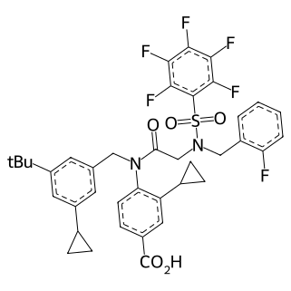 CC(C)(C)c1cc(CN(C(=O)CN(Cc2ccccc2F)S(=O)(=O)c2c(F)c(F)c(F)c(F)c2F)c2ccc(C(=O)O)cc2C2CC2)cc(C2CC2)c1